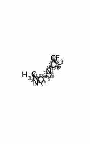 Cn1cnc2ccc([C@H]3CCCN(Cc4cc(F)cc(C(F)(F)F)c4)C3)cc21